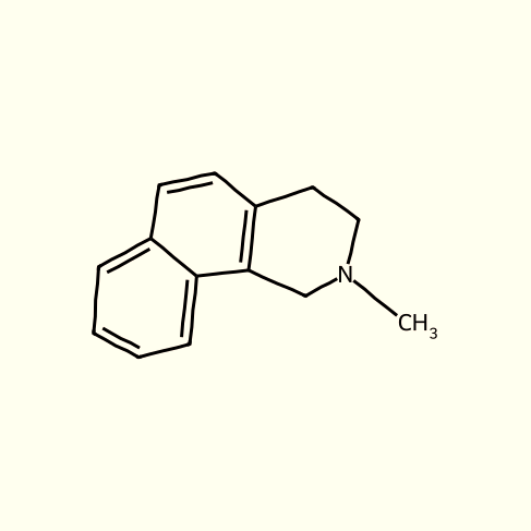 CN1CCc2ccc3ccccc3c2C1